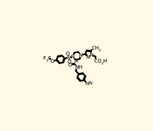 CCCc1ccc(CNC(=O)[C@H]2CN(c3cc(C)n(CC(=O)O)n3)CCN2S(=O)(=O)c2ccc(OC(F)(F)F)cc2)cc1